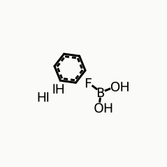 I.I.OB(O)F.c1ccccc1